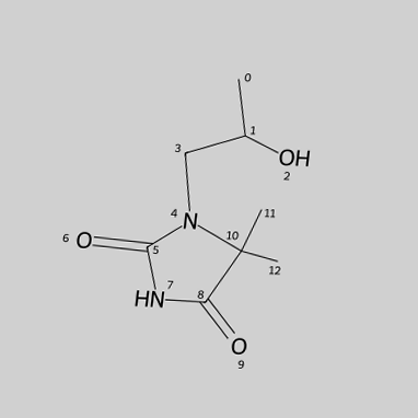 CC(O)CN1C(=O)NC(=O)C1(C)C